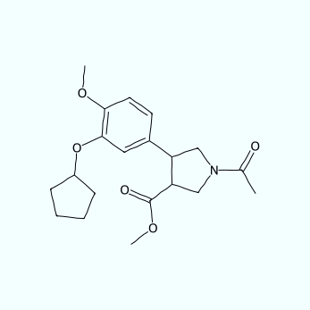 COC(=O)C1CN(C(C)=O)CC1c1ccc(OC)c(OC2CCCC2)c1